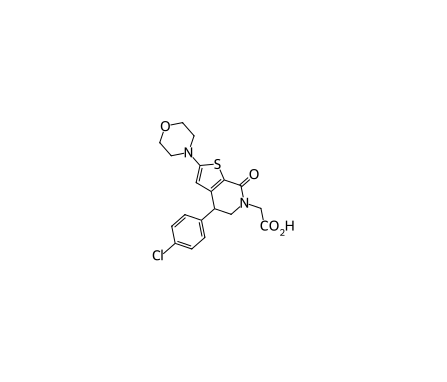 O=C(O)CN1CC(c2ccc(Cl)cc2)c2cc(N3CCOCC3)sc2C1=O